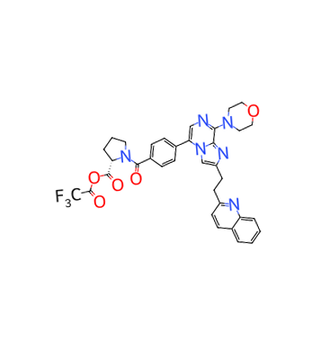 O=C(OC(=O)C(F)(F)F)[C@@H]1CCCN1C(=O)c1ccc(-c2cnc(N3CCOCC3)c3nc(CCc4ccc5ccccc5n4)cn23)cc1